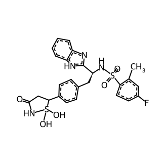 Cc1cc(F)ccc1S(=O)(=O)N[C@@H](Cc1ccc(C2CC(=O)NS2(O)O)cc1)c1nc2ccccc2[nH]1